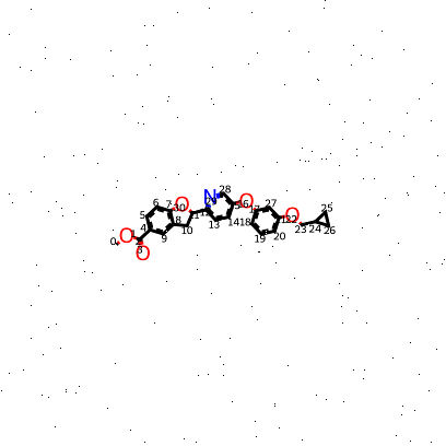 COC(=O)c1ccc2c(c1)CC(c1ccc(Oc3cccc(OCC4CC4)c3)cn1)O2